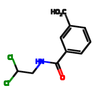 O=C(O)c1cccc(C(=O)NCC(Cl)Cl)c1